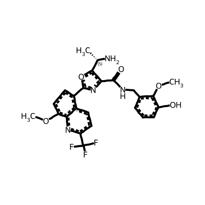 COc1c(O)cccc1CNC(=O)c1nc(-c2ccc(OC)c3nc(C(F)(F)F)ccc23)oc1[C@H](C)N